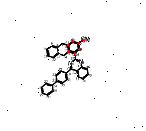 N#Cc1ccc2c(c1)C1c3ccccc3C2c2c(-c3nc(-c4ccc(-c5ccccc5)cc4)c4ccccc4n3)cc(C#N)cc21